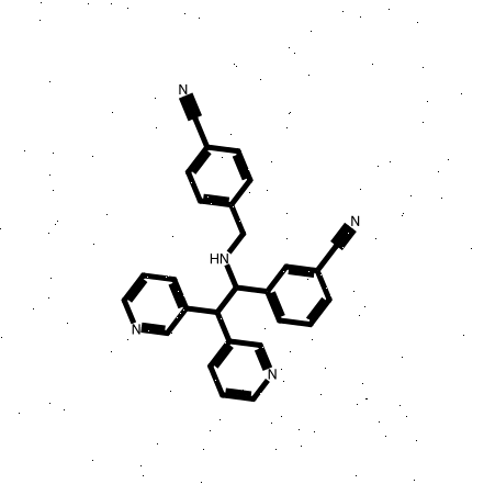 N#Cc1ccc(CNC(c2cccc(C#N)c2)C(c2cccnc2)c2cccnc2)cc1